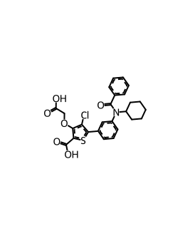 O=C(O)COc1c(C(=O)O)sc(-c2cccc(N(C(=O)c3ccccc3)C3CCCCC3)c2)c1Cl